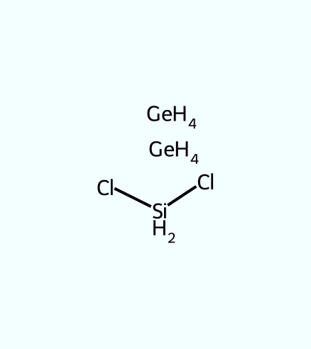 Cl[SiH2]Cl.[GeH4].[GeH4]